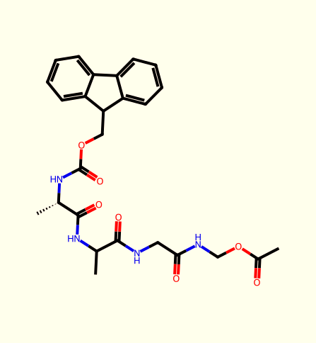 CC(=O)OCNC(=O)CNC(=O)C(C)NC(=O)[C@H](C)NC(=O)OCC1c2ccccc2-c2ccccc21